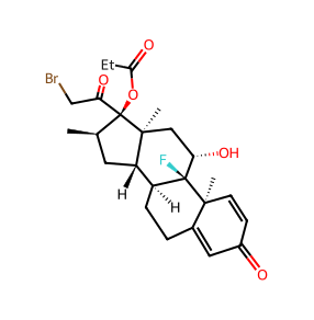 CCC(=O)O[C@]1(C(=O)CBr)[C@H](C)C[C@H]2[C@@H]3CCC4=CC(=O)C=C[C@]4(C)[C@@]3(F)[C@@H](O)C[C@@]21C